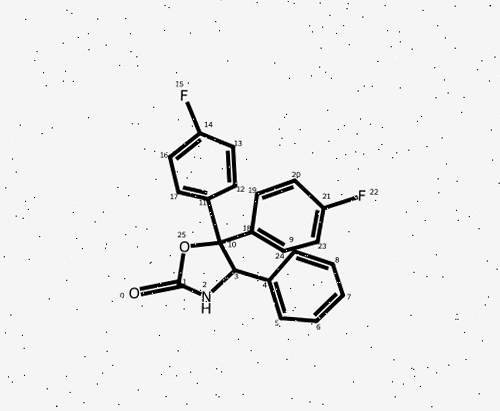 O=C1NC(c2ccccc2)C(c2ccc(F)cc2)(c2ccc(F)cc2)O1